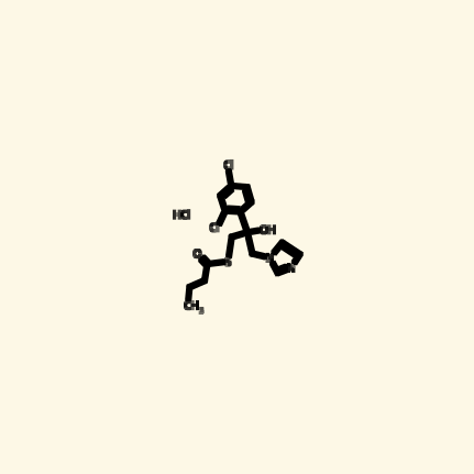 CCCC(=O)SCC(O)(Cn1ccnc1)c1ccc(Cl)cc1Cl.Cl